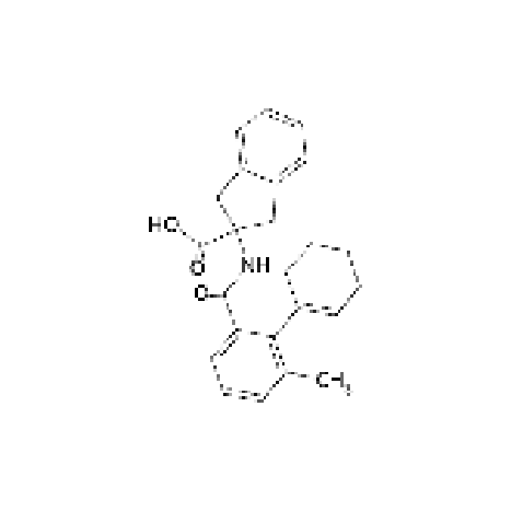 Cc1cccc(C(=O)NC2(C(=O)O)Cc3ccccc3C2)c1C1=CCCCC1